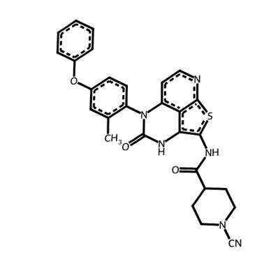 Cc1cc(Oc2ccccc2)ccc1N1C(=O)Nc2c(NC(=O)C3CCN(C#N)CC3)sc3nccc1c23